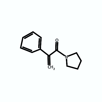 C=C(C(=O)N1CCCC1)c1ccccc1